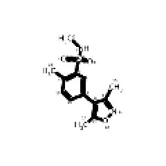 CNS(=O)(=O)c1cc(-c2c(C)noc2C)ccc1C